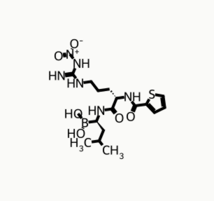 CC(C)C[C@H](NC(=O)[C@H](CCCNC(=N)N[N+](=O)[O-])NC(=O)c1cccs1)B(O)O